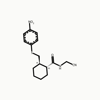 N#CCNC(=O)[C@@H]1CCCC[C@H]1CSc1ccc([N+](=O)[O-])cc1